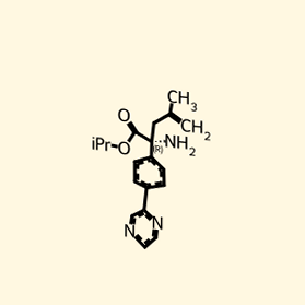 C=C(C)C[C@](N)(C(=O)OC(C)C)c1ccc(-c2cnccn2)cc1